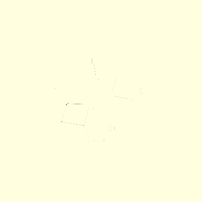 CCCCCCCCC1CC(=O)S1.CCO[Si](CC)(OCC)OCC